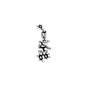 CC(OC(=O)C(O)CNC(=O)c1ncc(C(=O)NC(c2ccccc2)c2ccccc2)c(O)n1)C(=O)OCc1ccccc1